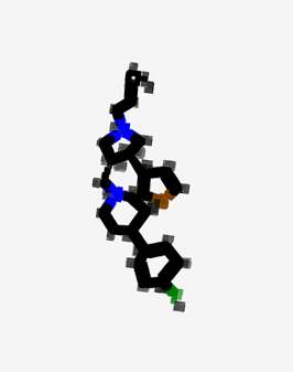 C=CCN1C[C@@H](CN2CCC(c3ccc(F)cc3)CC2)[C@H](c2ccsc2)C1